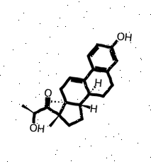 C[C@H](O)C(=O)[C@@]1(C)CC[C@H]2[C@@H]3CCc4cc(O)ccc4C3=CC[C@@]21C